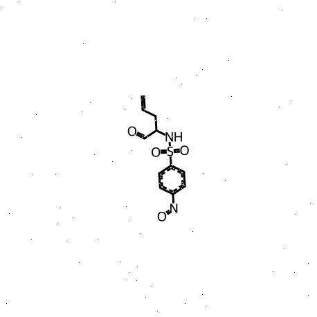 C=CCC(C=O)NS(=O)(=O)c1ccc(N=O)cc1